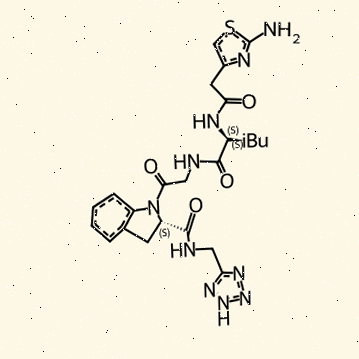 CC[C@H](C)[C@H](NC(=O)Cc1csc(N)n1)C(=O)NCC(=O)N1c2ccccc2C[C@H]1C(=O)NCc1nn[nH]n1